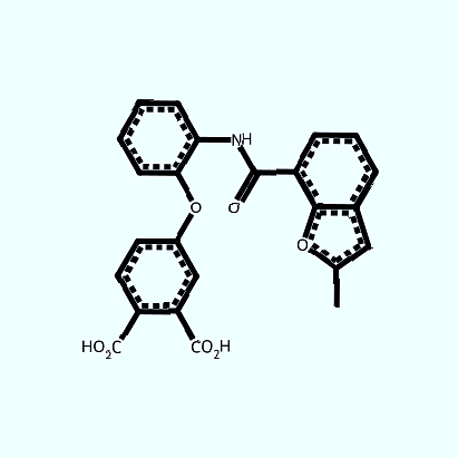 Cc1cc2cccc(C(=O)Nc3ccccc3Oc3ccc(C(=O)O)c(C(=O)O)c3)c2o1